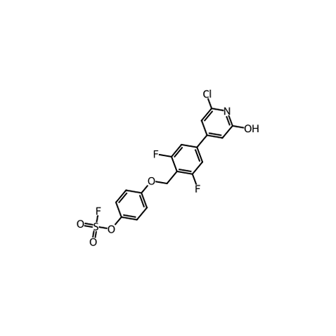 O=S(=O)(F)Oc1ccc(OCc2c(F)cc(-c3cc(O)nc(Cl)c3)cc2F)cc1